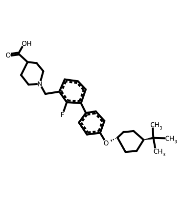 CC(C)(C)[C@H]1CC[C@H](Oc2ccc(-c3cccc(CN4CCC(C(=O)O)CC4)c3F)cc2)CC1